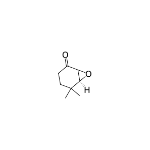 CC1(C)CCC(=O)C2O[C@H]21